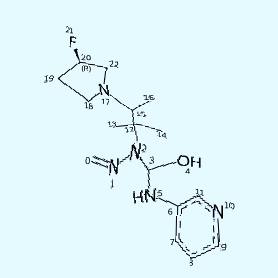 C=NN(C(O)Nc1cccnc1)C(C)(C)C(C)N1CC[C@@H](F)C1